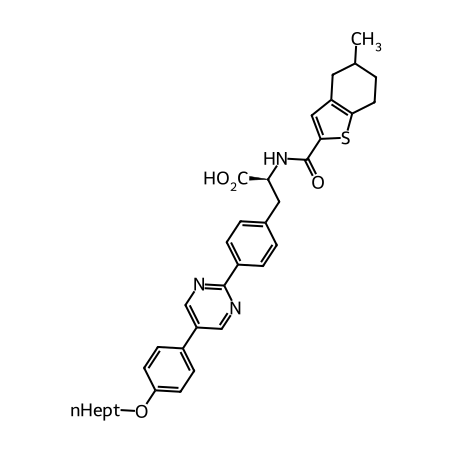 CCCCCCCOc1ccc(-c2cnc(-c3ccc(C[C@H](NC(=O)c4cc5c(s4)CCC(C)C5)C(=O)O)cc3)nc2)cc1